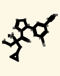 CC(CCl)(CC1CC1)C(=O)N1N=CCC1c1cc(F)cc(C#N)c1